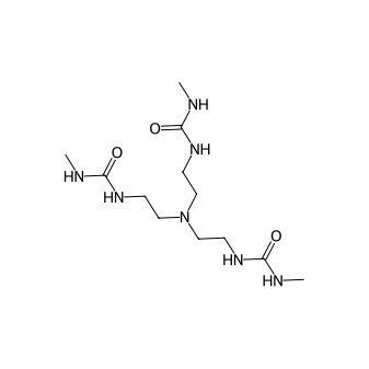 CNC(=O)NCCN(CCNC(=O)NC)CCNC(=O)NC